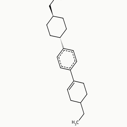 CCC1CC=C(c2ccc([C@H]3CC[C@H](CC)CC3)cc2)CC1